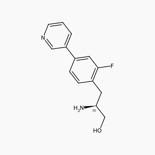 N[C@H](CO)Cc1ccc(-c2cccnc2)cc1F